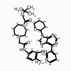 Cc1ccc(NC(=O)CN2CCCN(C(=O)OC(C)(C)C)CC2)cc1Nc1ncccc1-c1ncnc2c1ncn2C1CCCCO1